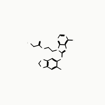 CC(C)CC(=O)NCCn1c(Sc2cc3c(cc2I)OCO3)nc2c(N)ncnc21